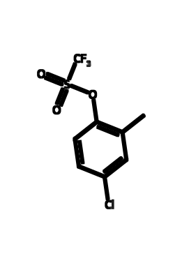 Cc1cc(Cl)ccc1OS(=O)(=O)C(F)(F)F